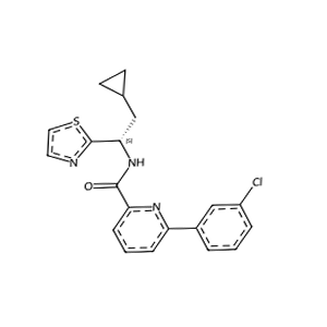 O=C(N[C@@H](CC1CC1)c1nccs1)c1cccc(-c2cccc(Cl)c2)n1